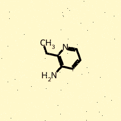 CCc1ncc[c]c1N